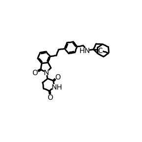 O=C1CCC(N2Cc3c(CCc4ccc(CNC56CC7CC(CC5C7)C6)cc4)cccc3C2=O)C(=O)N1